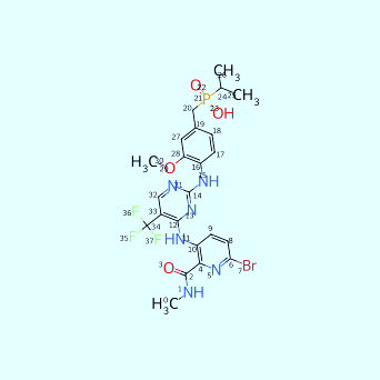 CNC(=O)c1nc(Br)ccc1Nc1nc(Nc2ccc(CP(=O)(O)C(C)C)cc2OC)ncc1C(F)(F)F